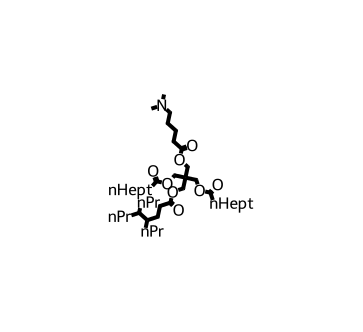 CCCCCCCC(=O)OCC(COC(=O)CCCCCCC)(COC(=O)CCCCN(C)C)COC(=O)CCC(CCC)C(CCC)CCC